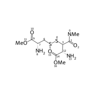 CNC(=O)C(SSC[C@H](N)C(=O)OC)[C@H](N)C(=O)OC